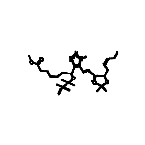 CC/C=C\C[C@H]1OC(C)(C)O[C@H]1/C=C/c1c([C@H](C/C=C\CCC(=O)OC)O[Si](C)(C)C(C)(C)C)nnn1C